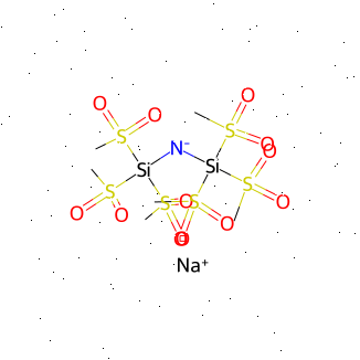 CS(=O)(=O)[Si]([N-][Si](S(C)(=O)=O)(S(C)(=O)=O)S(C)(=O)=O)(S(C)(=O)=O)S(C)(=O)=O.[Na+]